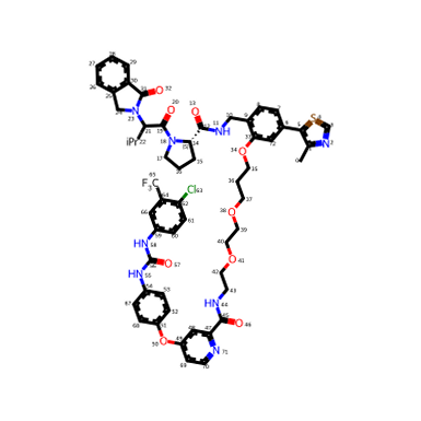 Cc1ncsc1-c1ccc(CNC(=O)[C@@H]2CCCN2C(=O)C(C(C)C)N2Cc3ccccc3C2=O)c(OCCCOCCOCCNC(=O)c2cc(Oc3ccc(NC(=O)Nc4ccc(Cl)c(C(F)(F)F)c4)cc3)ccn2)c1